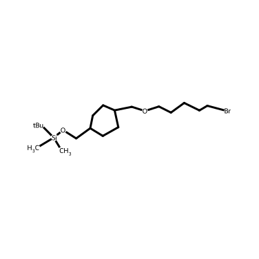 CC(C)(C)[Si](C)(C)OCC1CCC(COCCCCCBr)CC1